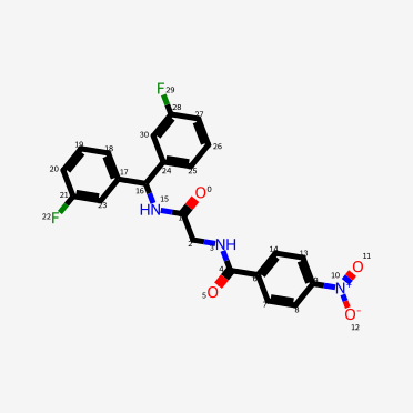 O=C(CNC(=O)c1ccc([N+](=O)[O-])cc1)NC(c1cccc(F)c1)c1cccc(F)c1